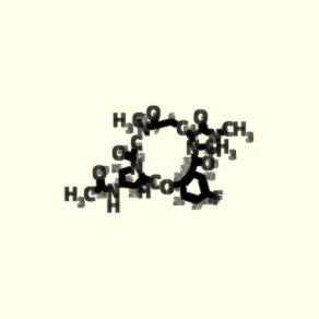 CNC(=O)[C@@H]1CCC(=O)N(C)CC(=O)N2C[C@@H](NC(C)=O)C[C@H]2COc2ccc(F)cc2C(=O)N1C